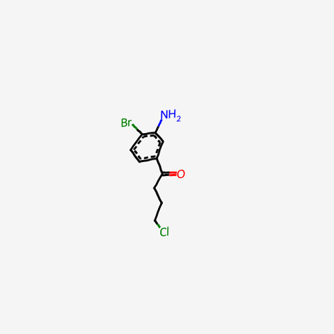 Nc1cc(C(=O)CCCCl)ccc1Br